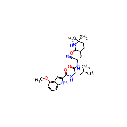 BC1(B)CC[C@@H](C[C@@H](C#N)NC(=O)[C@H](CC(C)C)NC(=O)c2cc3c(OC)cccc3[nH]2)C(=O)N1